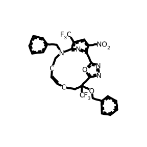 O=[N+]([O-])c1cc(C(F)(F)F)c2nc1-c1nnc(o1)C(OCc1ccccc1)(C(F)(F)F)CCC=CCCN2Cc1ccccc1